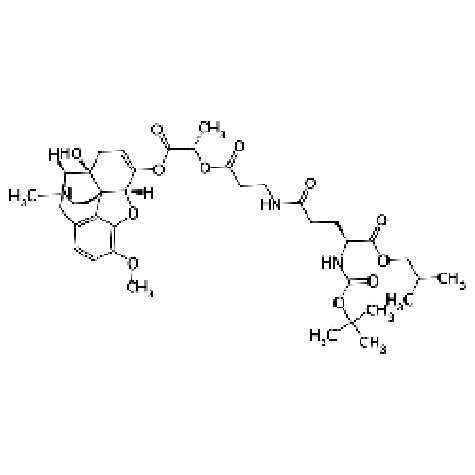 COc1ccc2c3c1O[C@H]1C(OC(=O)[C@H](C)OC(=O)CCNC(=O)CC[C@H](NC(=O)OC(C)(C)C)C(=O)OCC(C)C)=CC[C@@]4(O)[C@@H](C2)N(C)CC[C@]314